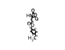 C=Cc1ccc(COC(=O)CCC2NC(=O)OC2=O)cc1